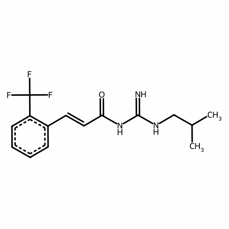 CC(C)CNC(=N)NC(=O)C=Cc1ccccc1C(F)(F)F